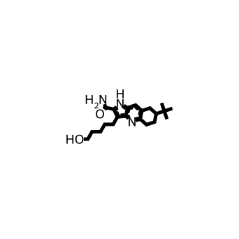 CC(C)(C)C1CCc2nc3c(CCCCCO)c(C(N)=O)[nH]c3cc2C1